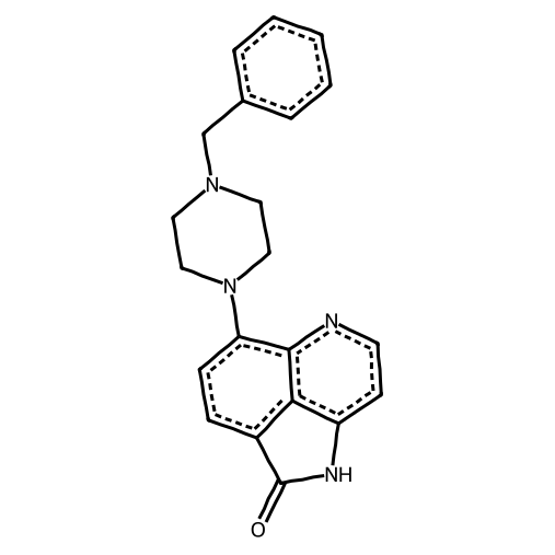 O=C1Nc2ccnc3c(N4CCN(Cc5ccccc5)CC4)ccc1c23